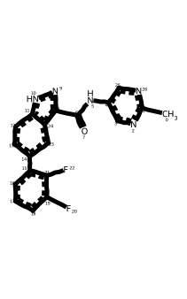 Cc1ncc(NC(=O)c2n[nH]c3ccc(-c4cccc(F)c4F)cc23)cn1